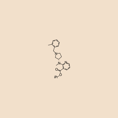 Cc1ccccc1CN1CC[C@H](N(C)c2ncccc2C(=O)OC(C)C)C1